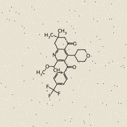 COC(C)c1nc2c(c(C3CCOCC3)c1C(=O)c1ccc(C(F)(F)F)cc1)C(=O)CC(C)(C)C2